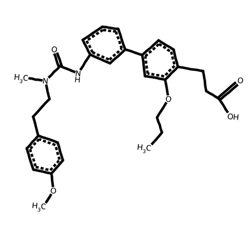 CCCOc1cc(-c2cccc(NC(=O)N(C)CCc3ccc(OC)cc3)c2)ccc1CCC(=O)O